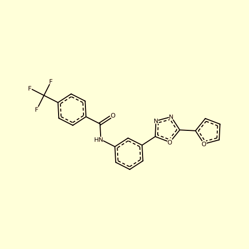 O=C(Nc1cccc(-c2nnc(-c3ccco3)o2)c1)c1ccc(C(F)(F)F)cc1